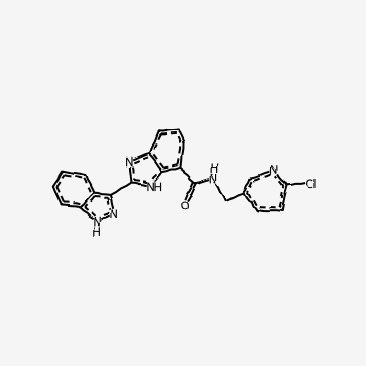 O=C(NCc1ccc(Cl)nc1)c1cccc2nc(-c3n[nH]c4ccccc34)[nH]c12